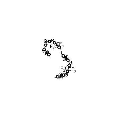 Cc1ccc(S(=O)(=O)c2ccc(Oc3ccc(C(c4ccc(Oc5ccc(S(=O)(=O)c6ccc(CCCCc7ccc(C(c8ccc(Oc9ccc(C(=O)c%10ccc(-c%11ccc(C)c(-c%12nc%13ccccc%13s%12)c%11)cc%10)cc9)cc8)(C(F)(F)F)C(F)(F)F)cc7)cc6)cc5)cc4)(C(F)(F)F)C(F)(F)F)cc3)cc2)cc1